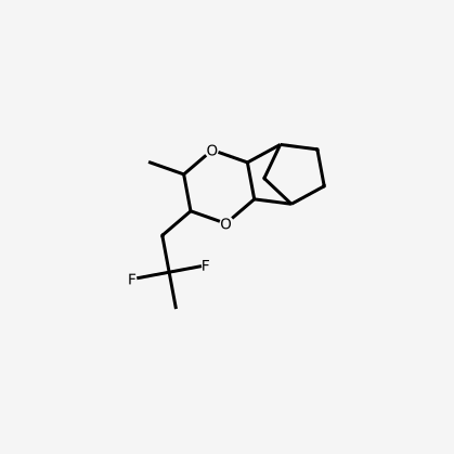 CC1OC2C3CCC(C3)C2OC1CC(C)(F)F